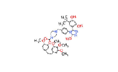 COc1ccc(/C=C\c2cc(OC)c(OC)c(OC)c2)cc1OC(=O)N1CCN(Cc2ccc(-n3c(O)nnc3-c3cc(C(C)C)c(O)cc3O)cc2)CC1